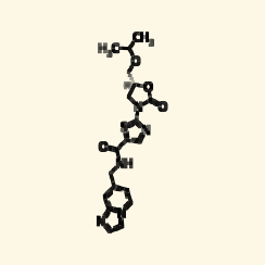 CC(C)OC[C@H]1CN(c2ncc(C(=O)NCc3ccn4ccnc4c3)s2)C(=O)O1